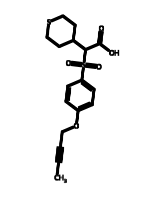 CC#CCOc1ccc(S(=O)(=O)C(C(=O)O)C2CCSCC2)cc1